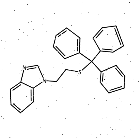 c1ccc(C(SCCn2cnc3ccccc32)(c2ccccc2)c2ccccc2)cc1